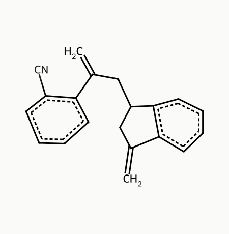 C=C(CC1CC(=C)c2ccccc21)c1ccccc1C#N